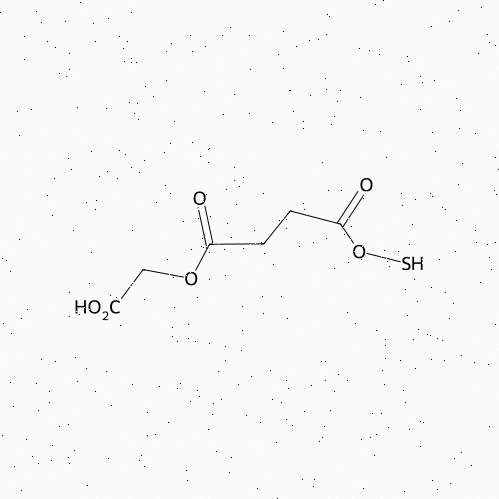 O=C(O)COC(=O)CCC(=O)OS